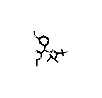 CCOC(=O)C(c1cccc(OC)c1)n1nc(C(F)(F)F)c(Cl)c1C